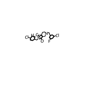 Cn1c2c(c(=O)n1Cc1ccc(Cl)cc1)CN(Cc1cc(F)cc(Cl)c1)CC2